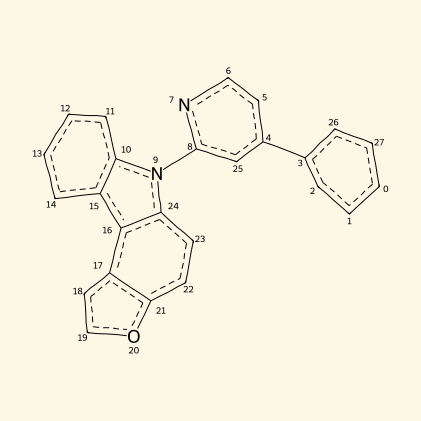 c1ccc(-c2ccnc(-n3c4ccccc4c4c5ccoc5ccc43)c2)cc1